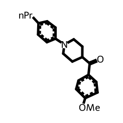 CCCc1ccc(N2CCC(C(=O)c3ccc(OC)cc3)CC2)cc1